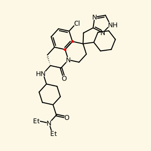 CCN(CC)C(=O)C1CCC(N[C@H](Cc2ccc(Cl)cc2)C(=O)N2CCC(Cc3nc[nH]n3)(C3CCCCC3)CC2)CC1